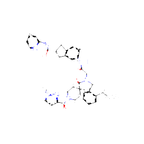 CCC1(C(=O)N(CC(=O)Nc2ccc3c(c2)C[C@H](C(=O)Nc2ccccn2)C3)Cc2ccccc2CNC)CCN(C(=O)c2ccn(C)n2)CC1